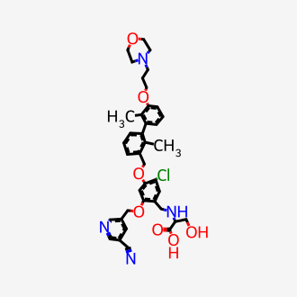 Cc1c(COc2cc(OCc3cncc(C#N)c3)c(CNC(CO)C(=O)O)cc2Cl)cccc1-c1cccc(OCCCN2CCOCC2)c1C